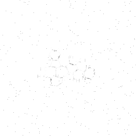 CC1=C(c2ccccc2C)C(c2c(C(C)C)c(C)c(-c3ncccn3)c(C)c2C(C)C)c2ccccc21